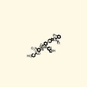 CCOC[C@@H](NC1CC2(CCN(c3ccc(C(=O)NS(=O)(=O)c4cc5c(c([N+](=O)[O-])c4)O[C@H]([C@H]4CC[C@](C)(O)CC4)CO5)c(Oc4cnc5[nH]ccc5c4)c3)CC2)C1)c1ccccc1C(C)C